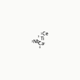 [Ca].[Ce].[Nb].[Ti]